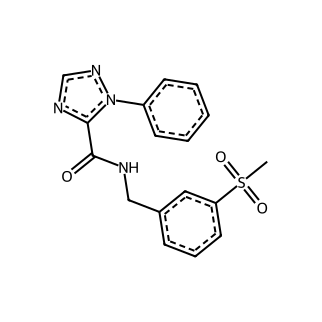 CS(=O)(=O)c1cccc(CNC(=O)c2ncnn2-c2ccccc2)c1